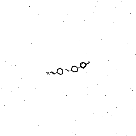 N#C/C=C/[C@H]1CC[C@H](CC[C@H]2CC[C@H](c3ccc(F)cc3)CC2)CC1